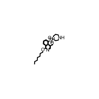 CCCCCCCOc1ncc(C)c2c(S(=O)(=O)N3CCCNCC3)cccc12